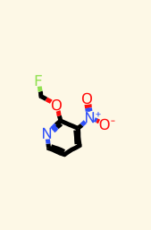 O=[N+]([O-])c1cccnc1OCF